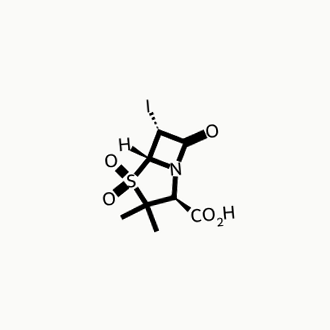 CC1(C)[C@H](C(=O)O)N2C(=O)[C@@H](I)[C@H]2S1(=O)=O